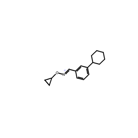 [C](=N\OC1CC1)/c1cccc(C2CCCCC2)c1